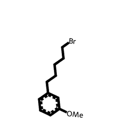 COc1cccc(CCCCCBr)c1